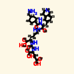 NCC1CCC(C(=O)N[C@H](Cc2ccc3cnccc3c2)C(=O)NCCCC[C@H](NC(=O)N[C@@H](CCC(=O)O)C(=O)O)C(=O)O)CC1